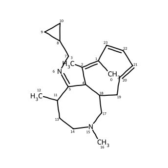 CC1=C(/C)C2/C(=N\CC3CC3)C(C)CCN(C)CC2C/C=C/C=C\1